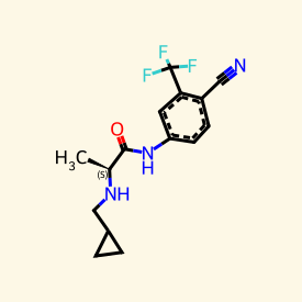 C[C@H](NCC1CC1)C(=O)Nc1ccc(C#N)c(C(F)(F)F)c1